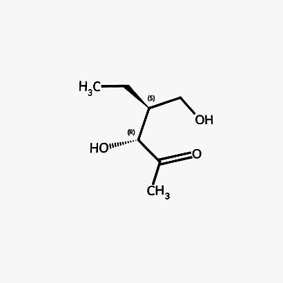 CC[C@@H](CO)[C@@H](O)C(C)=O